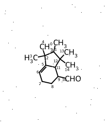 CC1C(C)(C)C2=CCCC(C=O)C2C1(C)C